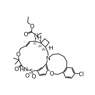 CCOC(=O)N(C)[C@@H]1/C=C/COC(C)(C)C(=O)NS(=O)(=O)c2ccc3c(c2)N(CCCCc2cc(Cl)ccc2CO3)C[C@@H]2CC[C@H]21